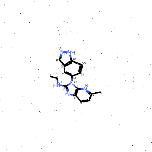 CCNc1nc2ccc(C)nc2n1-c1ccc2[nH]ncc2c1